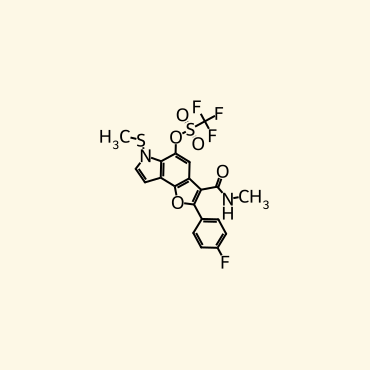 CNC(=O)c1c(-c2ccc(F)cc2)oc2c1cc(OS(=O)(=O)C(F)(F)F)c1c2ccn1SC